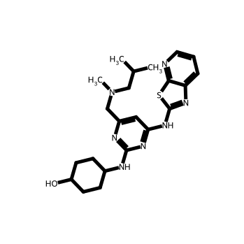 CC(C)CN(C)Cc1cc(Nc2nc3cccnc3s2)nc(NC2CCC(O)CC2)n1